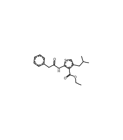 CCOC(=O)c1c(CC(C)C)csc1NC(=O)Cc1ccccc1